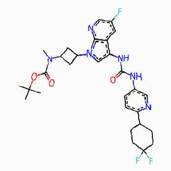 CN(C(=O)OC(C)(C)C)C1CC(n2cc(NC(=O)Nc3ccc(C4CCC(F)(F)CC4)nc3)c3cc(F)cnc32)C1